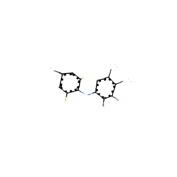 N#Cc1c(Cl)c(Cl)c(Nc2c(F)cc([N+](=O)[O-])cc2F)c(Cl)c1C#N